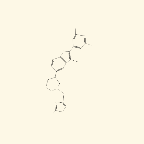 Cc1cc(-c2[nH]c3ccc(C4CCCN(Cc5c[nH]c(C)n5)C4)cc3c2C(C)C)cc(C)n1